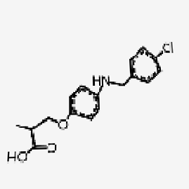 CC(COc1ccc(NCc2ccc(Cl)cc2)cc1)C(=O)O